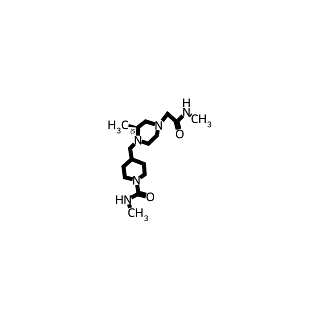 CNC(=O)CN1CCN(CC2CCN(C(=O)NC)CC2)[C@@H](C)C1